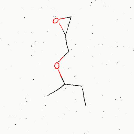 [CH2]C(CC)OCC1CO1